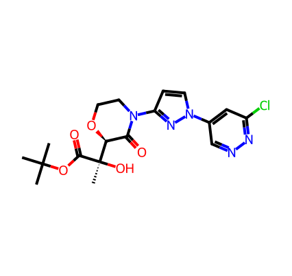 CC(C)(C)OC(=O)[C@](C)(O)[C@H]1OCCN(c2ccn(-c3cnnc(Cl)c3)n2)C1=O